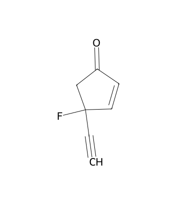 C#CC1(F)C=CC(=O)C1